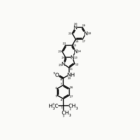 CC(C)(C)c1ccc(C(=O)Nc2cn3nc(-c4cncnc4)ccc3n2)cc1